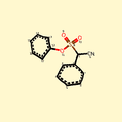 N#CC(c1ccccc1)S(=O)(=O)Oc1ccccc1